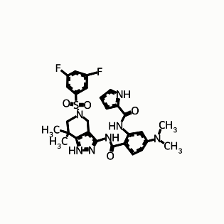 CN(C)c1ccc(C(=O)Nc2n[nH]c3c2CN(S(=O)(=O)c2cc(F)cc(F)c2)CC3(C)C)c(NC(=O)c2ccc[nH]2)c1